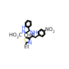 CCc1nc(C(Cc2ccc([N+](=O)[O-])cc2)N[C@@H](c2ccccc2)[C@@H](C=O)NC(=O)O)cs1